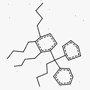 CCCCc1ccc(C(CCCC)(c2ccccc2)c2ccccc2)c(CCCC)c1CCCC